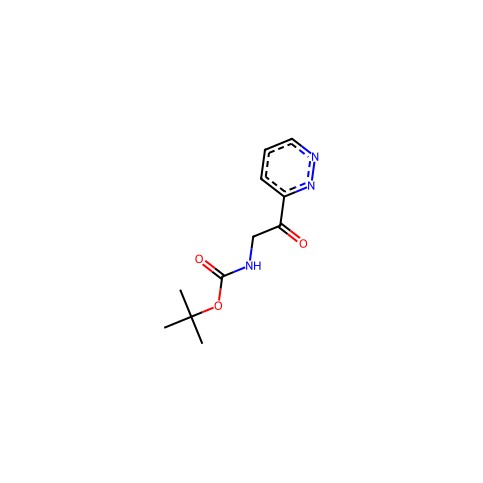 CC(C)(C)OC(=O)NCC(=O)c1cccnn1